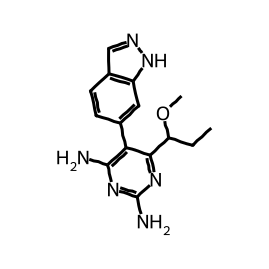 CCC(OC)c1nc(N)nc(N)c1-c1ccc2cn[nH]c2c1